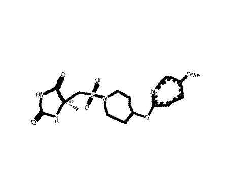 COc1ccc(OC2CCN(S(=O)(=O)C[C@@]3(C)NC(=O)NC3=O)CC2)nc1